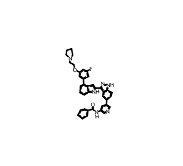 O=C(Nc1cncc(-c2ccc3[nH]nc(-c4cc5c(-c6cc(F)cc(OCCN7CCCC7)c6)cccc5[nH]4)c3c2)c1)c1ccccc1